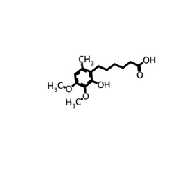 COc1cc(C)c(CCCCCC(=O)O)c(O)c1OC